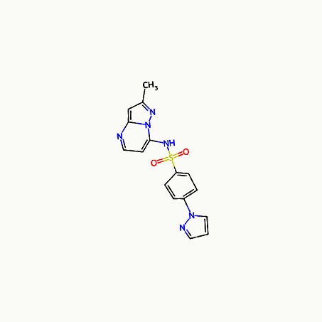 Cc1cc2nccc(NS(=O)(=O)c3ccc(-n4cccn4)cc3)n2n1